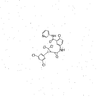 O=C(Nc1cccnc1)c1cc(NC2OC2C2C(c3cc(Cl)cc(Cl)c3)C2(Cl)Cl)ccc1Cl